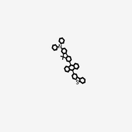 CC1(C)c2cc(-c3c4ccccc4c(-c4ccc5sc6ccccc6c5c4)c4ccccc34)ccc2-c2ccc(N(c3ccccc3)c3ccccc3)cc21